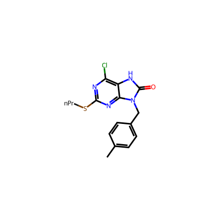 CCCSc1nc(Cl)c2[nH]c(=O)n(Cc3ccc(C)cc3)c2n1